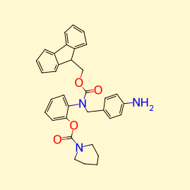 Nc1ccc(CN(C(=O)OCC2c3ccccc3-c3ccccc32)c2ccccc2OC(=O)N2CCCCC2)cc1